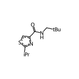 CC(C)c1nc(C(=O)NCC(C)(C)C)cs1